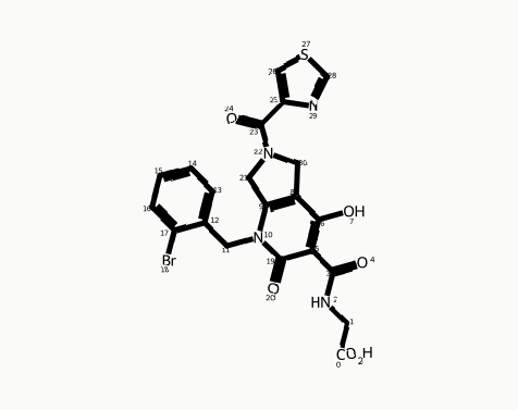 O=C(O)CNC(=O)c1c(O)c2c(n(Cc3ccccc3Br)c1=O)CN(C(=O)c1cscn1)C2